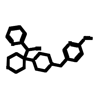 COc1ccc(CN2CCN(C3(C(O)c4ccccn4)CCOCC3)CC2)cn1